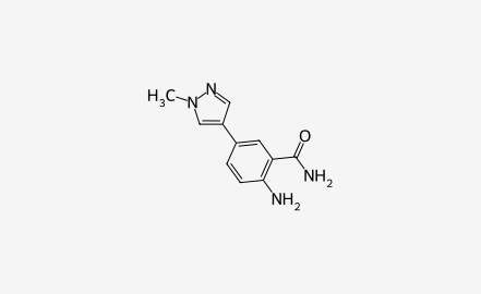 Cn1cc(-c2ccc(N)c(C(N)=O)c2)cn1